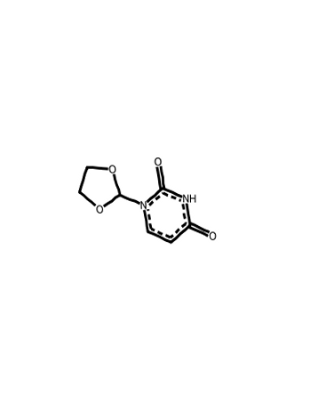 O=c1ccn(C2OCCO2)c(=O)[nH]1